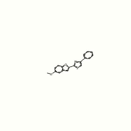 COc1ccc2oc(-c3nc(-c4ccccc4)cs3)cc2c1